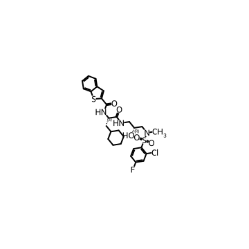 CN(C[C@H](O)CNC(=O)[C@H](CC1CCCCC1)NC(=O)c1cc2ccccc2s1)S(=O)(=O)c1ccc(F)cc1Cl